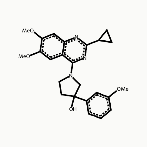 COc1cccc(C2(O)CCN(c3nc(C4CC4)nc4cc(OC)c(OC)cc34)C2)c1